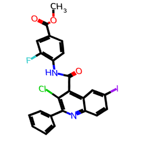 COC(=O)c1ccc(NC(=O)c2c(Cl)c(-c3ccccc3)nc3ccc(I)cc23)c(F)c1